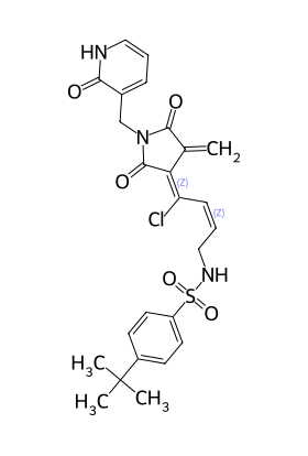 C=C1C(=O)N(Cc2ccc[nH]c2=O)C(=O)/C1=C(Cl)/C=C\CNS(=O)(=O)c1ccc(C(C)(C)C)cc1